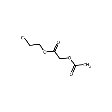 CC(=O)OCC(=O)OCCCl